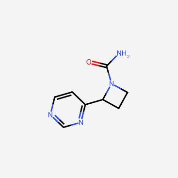 NC(=O)N1CCC1c1ccncn1